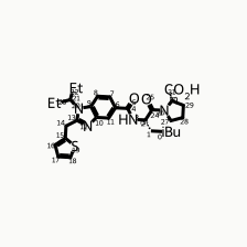 CCC(C)C[C@H](NC(=O)c1ccc2c(c1)nc(Cc1cccs1)n2C(CC)CC)C(=O)N1CCC[C@H]1C(=O)O